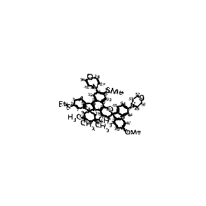 CCSc1ccc2c(c1)C1(CC(C)(C)CC(C)(C)C1)c1c3c(c4cc(SC)c(N5CCOCC5)cc4c1-2)OC(c1ccc(OC)cc1)(c1ccc(N2CCOCC2)cc1)C=C3